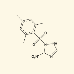 Cc1cc(C)c(S(=O)(=O)N2NC=NC2[N+](=O)[O-])c(C)c1